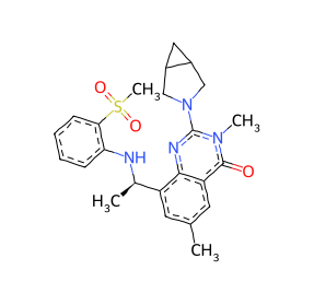 Cc1cc([C@@H](C)Nc2ccccc2S(C)(=O)=O)c2nc(N3CC4CC4C3)n(C)c(=O)c2c1